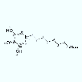 CCCCCCCCCCCCCCCCn1cc(O)c(=O)c(O)c1